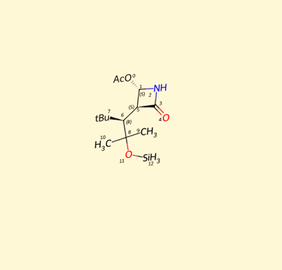 CC(=O)O[C@@H]1NC(=O)[C@H]1[C@H](C(C)(C)C)C(C)(C)O[SiH3]